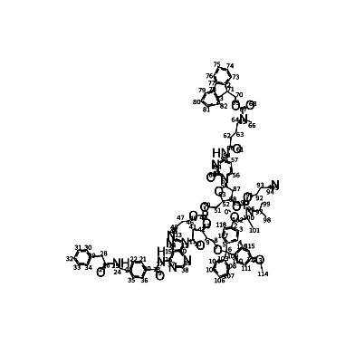 COc1ccc(C(OC[C@H]2O[C@@H](n3cnc4c(NC(=O)c5ccc(CNC(=O)Cc6ccccc6)cc5)ncnc43)CC2OP(OCCC#N)OC[C@H]2O[C@@H](n3ccc(NC(=O)CCCN(C)C(=O)OCC4c5ccccc5-c5ccccc54)nc3=O)CC2OP(OCCC#N)N(C(C)C)C(C)C)(c2ccccc2)c2ccc(OC)cc2)cc1